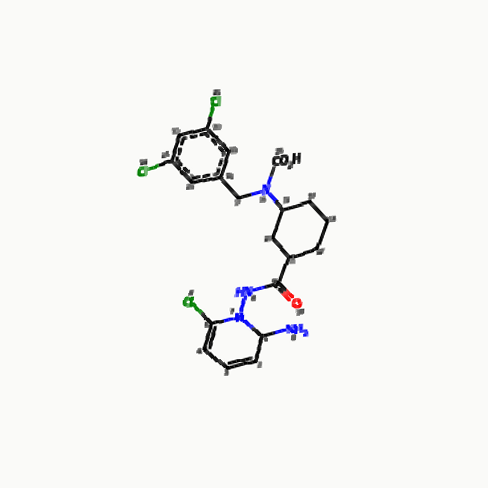 NC1C=CC=C(Cl)N1NC(=O)C1CCCC(N(Cc2cc(Cl)cc(Cl)c2)C(=O)O)C1